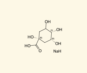 O=C(O)[C@@]1(O)CC(O)[C@H](O)[C@H](O)C1.[NaH]